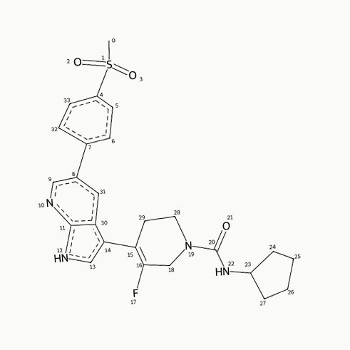 CS(=O)(=O)c1ccc(-c2cnc3[nH]cc(C4=C(F)CN(C(=O)NC5CCCC5)CC4)c3c2)cc1